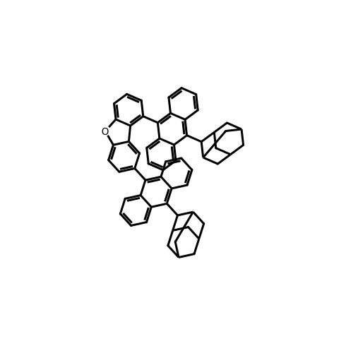 c1cc(-c2c3ccccc3c(C3C4CC5CC(C4)CC3C5)c3ccccc23)c2c(c1)oc1ccc(-c3c4ccccc4c(C4C5CC6CC(C5)CC4C6)c4ccccc34)cc12